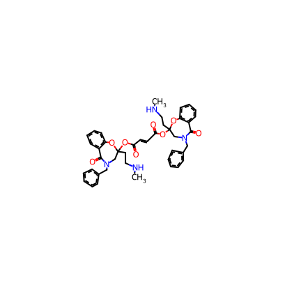 CNCCC1(OC(=O)/C=C/C(=O)OC2(CCNC)CN(Cc3ccccc3)C(=O)c3ccccc3O2)CN(Cc2ccccc2)C(=O)c2ccccc2O1